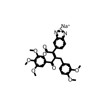 COc1ccc(CC(C(=O)c2cc(OC)c(OC)c(OC)c2)=C(C(=O)[O-])c2ccc3nsnc3c2)cc1OC.[Na+]